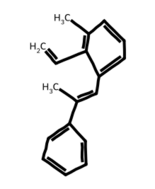 C=Cc1c(C)cccc1C=C(C)c1ccccc1